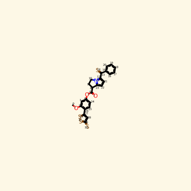 COc1cc(OC(=O)C2CCn3c(C(=S)c4ccccc4)ccc32)ccc1-c1cc(=S)ss1